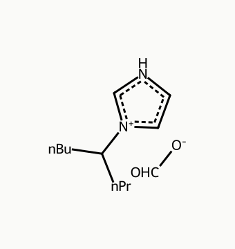 CCCCC(CCC)[n+]1cc[nH]c1.O=C[O-]